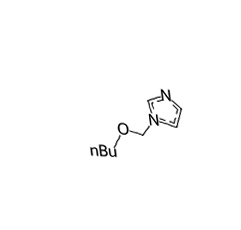 CCCCOCn1ccnc1